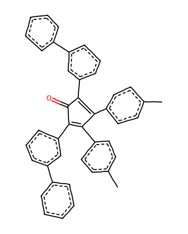 Cc1ccc(C2=C(c3cccc(-c4ccccc4)c3)C(=O)C(c3cccc(-c4ccccc4)c3)=C2c2ccc(C)cc2)cc1